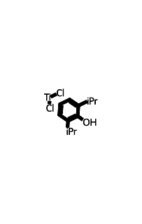 CC(C)c1cccc(C(C)C)c1O.[Cl][Ti][Cl]